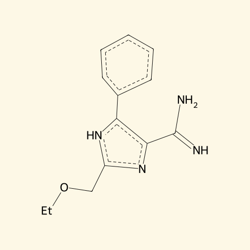 CCOCc1nc(C(=N)N)c(-c2ccccc2)[nH]1